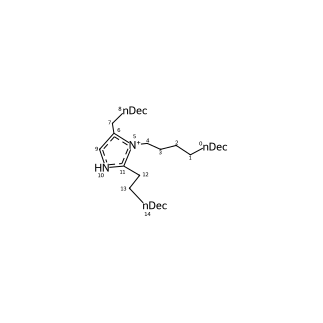 CCCCCCCCCCCCCC[n+]1c(CCCCCCCCCCC)c[nH]c1CCCCCCCCCCCC